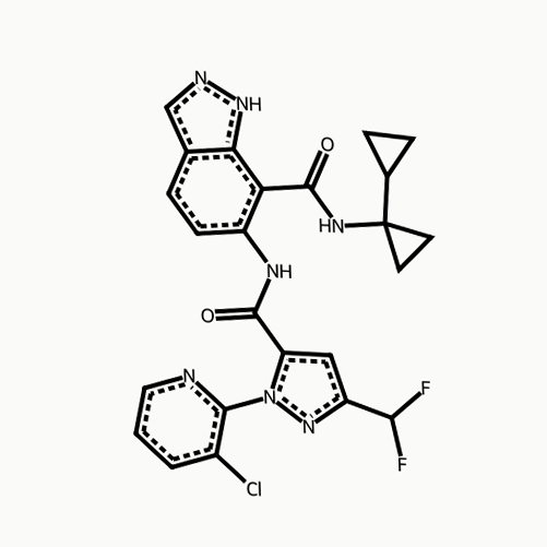 O=C(NC1(C2CC2)CC1)c1c(NC(=O)c2cc(C(F)F)nn2-c2ncccc2Cl)ccc2cn[nH]c12